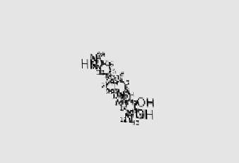 CC1C=C2C=C3[C@@H](O)[C@H](O)[C@@H](N(C)C)C[C@]34CC[C@]2(O4)C2CC=C(c3ccc4cn[nH]c4c3)[C@@]12C